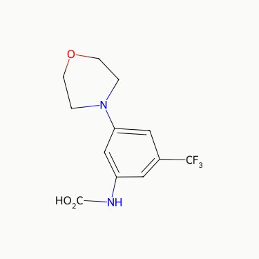 O=C(O)Nc1cc(N2CCOCC2)cc(C(F)(F)F)c1